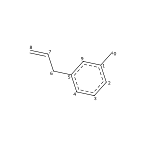 [CH2]c1cccc(CC=C)c1